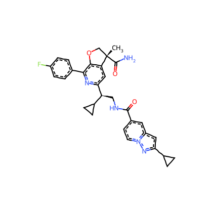 C[C@]1(C(N)=O)COc2c1cc([C@@H](CNC(=O)c1ccn3nc(C4CC4)cc3c1)C1CC1)nc2-c1ccc(F)cc1